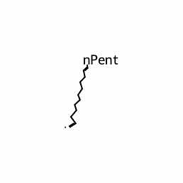 [CH]=CCCCCCCCC/C=C/CCCCC